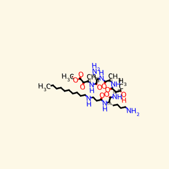 CCCCCCCCCCNCCC(=O)N[C@@H](CCCCN)C(=O)N[C@H](C(=O)N[C@@H](C)C(=O)N[C@@H](CN)C(=O)N[C@@H](C)C(=O)C(=O)OC)[C@@H](C)O